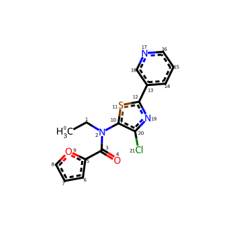 CCN(C(=O)c1ccco1)c1sc(-c2cccnc2)nc1Cl